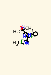 Cc1noc(C)c1-c1cnc2c(-c3cnn(CC(C)(F)F)c3)cn(CC3(F)CCCCC3)c2c1